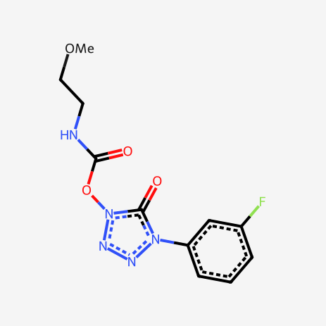 COCCNC(=O)On1nnn(-c2cccc(F)c2)c1=O